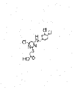 O=C(O)CSc1nc(Cl)cc(NCc2ccc(Cl)c(Cl)c2)n1